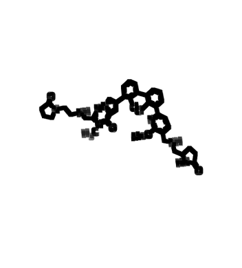 COc1nc(-c2cccc(-c3cccc(-c4cc5c(=O)n(C)c(CNCCN6CCCC6=O)nn5c4)c3Cl)c2Cl)ccc1CNCC1CCC(=O)N1